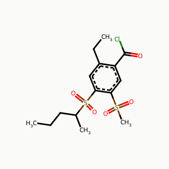 CCCC(C)S(=O)(=O)c1cc(CC)c(C(=O)Cl)cc1S(C)(=O)=O